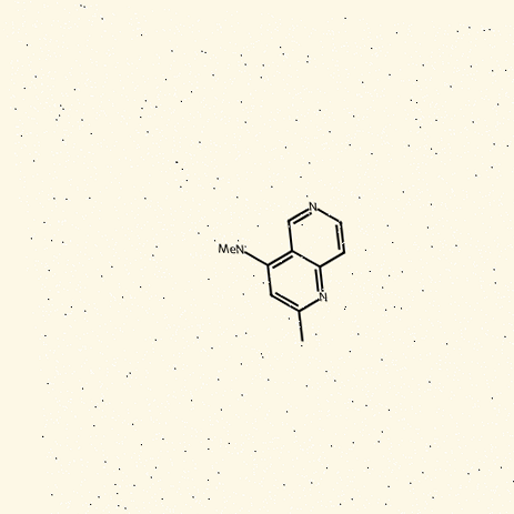 CNc1cc(C)nc2ccncc12